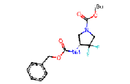 CC(C)(C)OC(=O)N1C[C@@H](NC(=O)OCc2ccccc2)C(F)(F)C1